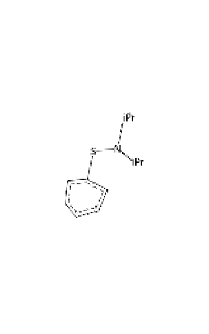 CC(C)N(Sc1ccccc1)C(C)C